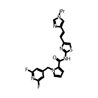 CC(C)n1cnc(C=Cc2csc(NC(=O)c3cccn3Cc3cc(F)nc(F)c3)n2)c1